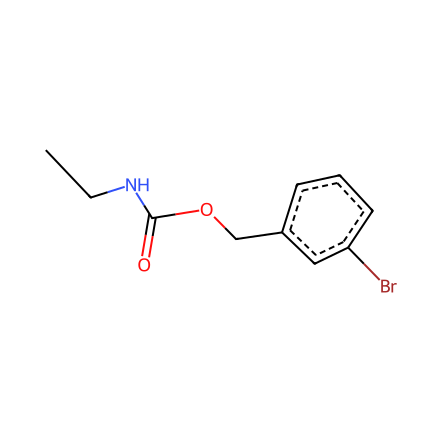 CCNC(=O)OCc1cccc(Br)c1